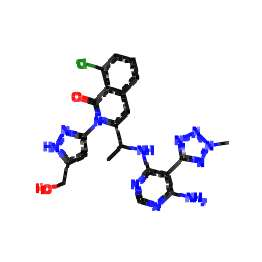 CC(Nc1ncnc(N)c1-c1nnn(C)n1)c1cc2cccc(Cl)c2c(=O)n1-c1cc(CO)[nH]n1